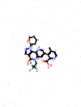 Cc1ccnc(C(=O)O)c1-c1cnc2c3c(cnn3C3CCCCO3)c(=O)n(CC(F)(F)F)c2c1